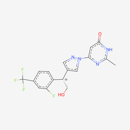 Cc1nc(-n2cc([C@H](CO)c3ccc(C(F)(F)F)cc3F)cn2)cc(=O)[nH]1